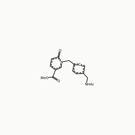 COC(=O)c1ccc(=O)n(Cc2ccc(CNC(C)=O)cc2)c1